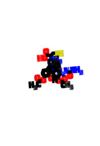 CC(=O)Oc1ccc2c3c1O[C@H]1[C@@H](OC(C)=O)C=C[C@H]4[C@@H](C2)N(C)CC[C@@]341.NC(CS)C(=O)O.NC(N)=O